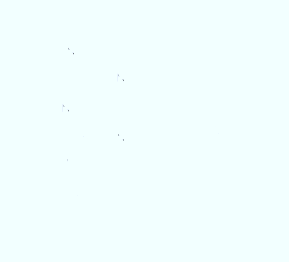 CCc1cccc(Cl)c1-n1cnc(N)nc1=O